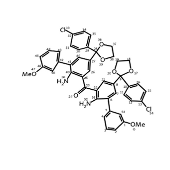 COc1cccc(-c2cc(C3(c4ccc(Cl)cc4)OCCO3)cc(C(=O)c3cc(C4(c5ccc(Cl)cc5)OCCO4)cc(-c4cccc(OC)c4)c3N)c2N)c1